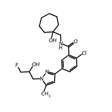 Cc1cc(-c2ccc(Cl)c(C(=O)NCC3(O)CCCCCC3)c2)nn1CC(O)CF